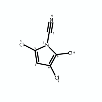 N#Cn1c(Cl)cc(Cl)c1Cl